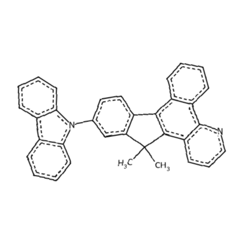 CC1(C)c2cc(-n3c4ccccc4c4ccccc43)ccc2-c2c1c1cccnc1c1ccccc21